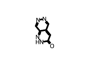 O=c1cc2cnncc2n[nH]1